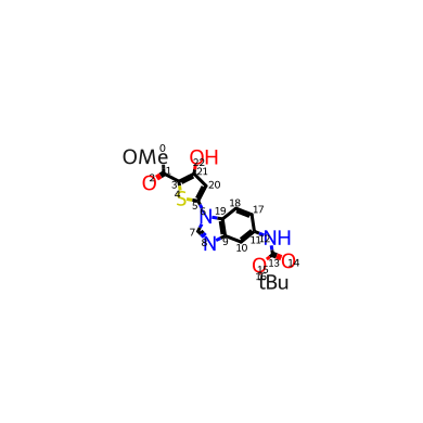 COC(=O)c1sc(-n2cnc3cc(NC(=O)OC(C)(C)C)ccc32)cc1O